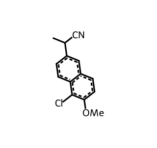 COc1ccc2cc(C(C)C#N)ccc2c1Cl